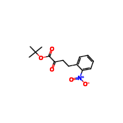 CC(C)(C)OC(=O)C(=O)CCc1ccccc1[N+](=O)[O-]